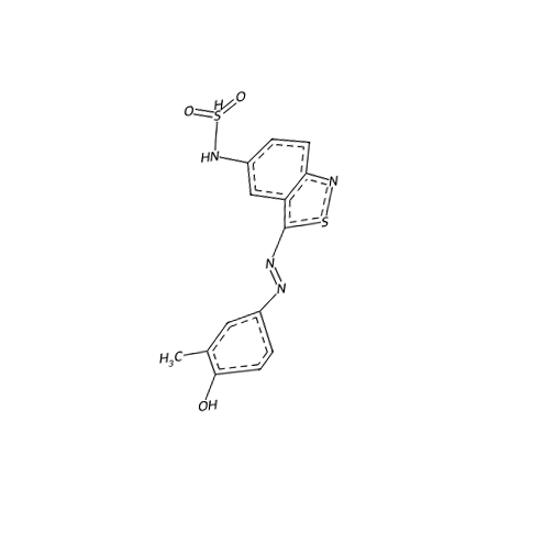 Cc1cc(/N=N/c2snc3ccc(N[SH](=O)=O)cc23)ccc1O